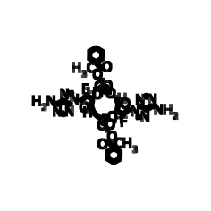 CC1(C(=O)OCOP2(=O)CC[C@H]3O[C@@H](n4cnc5c(N)ncnc54)[C@H](F)[C@@H]3OP(=O)(OCOC(=O)C3(C)CCCCC3)OC[C@H]3O[C@@H](n4cnc5c(N)ncnc54)[C@H](F)[C@@H]3O2)CCCCC1